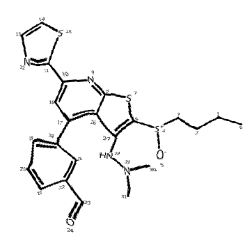 CCCC[S+]([O-])c1sc2nc(-c3nccs3)cc(-c3cccc(C=O)c3)c2c1NN(C)C